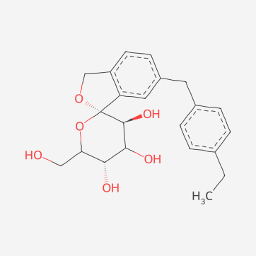 CCc1ccc(Cc2ccc3c(c2)[C@]2(OC3)OC(CO)[C@@H](O)C(O)[C@@H]2O)cc1